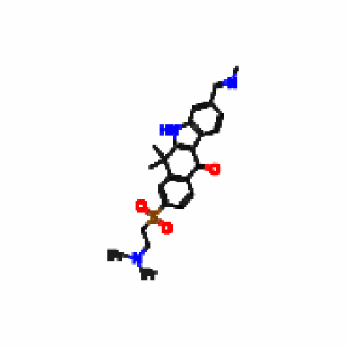 CN=Cc1ccc2c3c([nH]c2c1)C(C)(C)c1cc(S(=O)(=O)CCN(C(C)C)C(C)C)ccc1C3=O